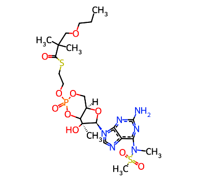 CCCOCC(C)(C)C(=O)SCCOP1(=O)OC[C@H]2O[C@@H](n3cnc4c(N(C)S(C)(=O)=O)nc(N)nc43)[C@@](C)(O)C2O1